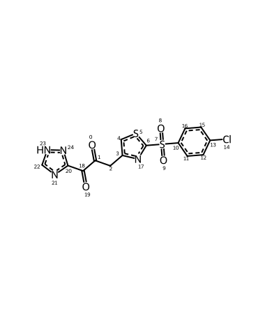 O=C(Cc1csc(S(=O)(=O)c2ccc(Cl)cc2)n1)C(=O)c1nc[nH]n1